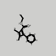 CCOC(=O)C1=C(c2ccccc2)C(C)=C1C